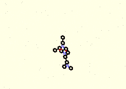 c1ccc(-c2ccc(N(c3ccc(-c4ccccc4)cc3)c3ccccc3-c3ccccc3-n3c4ccccc4c4cc(-c5ccc6c(c5)c5ccccc5n6-c5ccccc5)ccc43)cc2)cc1